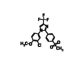 COc1ccc(-n2cc(C(F)(F)F)nc2-c2ccc(S(C)(=O)=O)cc2)cc1Cl